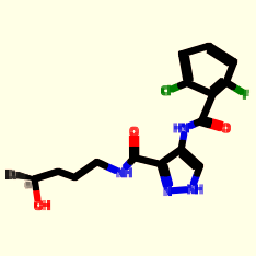 CC[C@H](O)CCCNC(=O)c1n[nH]cc1NC(=O)c1c(F)cccc1Cl